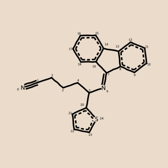 N#CCCCC(N=C1c2ccccc2-c2ccccc21)c1cccs1